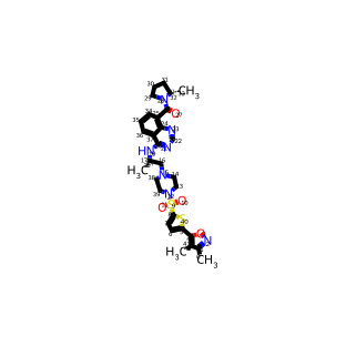 Cc1noc(-c2ccc(S(=O)(=O)N3CCN(C[C@H](C)Nc4ncnc5c(C(=O)N6CCC[C@@H]6C)cccc45)CC3)s2)c1C